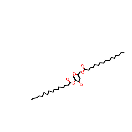 CCCCCCCCCCCCCCCC(=O)OCc1cc(=O)c(OC(=O)CCCCCCCCCCCCCCC)co1